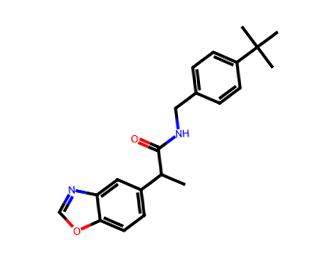 CC(C(=O)NCc1ccc(C(C)(C)C)cc1)c1ccc2ocnc2c1